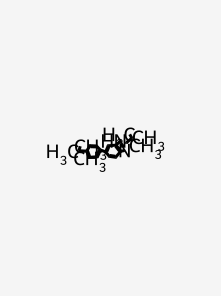 CC(C)(C)c1ccc(-c2ccc3nc(C(C)(C)C)[nH]c3c2)cc1